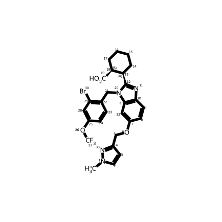 Cn1ccc(COc2ccc3nc([C@@H]4CCCC[C@@H]4C(=O)O)n(Cc4ccc(OC(F)(F)F)cc4Br)c3c2)n1